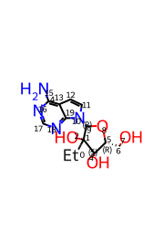 CCC1(O)[C@@H](O)[C@@H](CO)O[C@H]1n1ccc2c(N)ncnc21